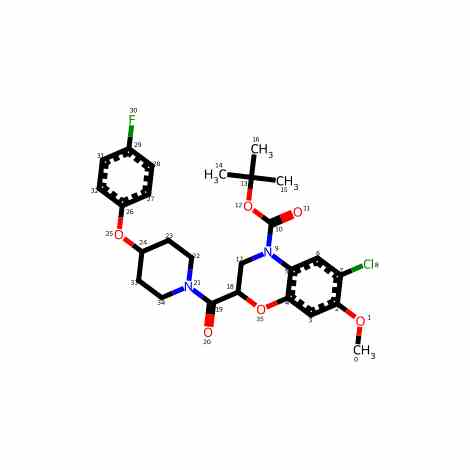 COc1cc2c(cc1Cl)N(C(=O)OC(C)(C)C)CC(C(=O)N1CCC(Oc3ccc(F)cc3)CC1)O2